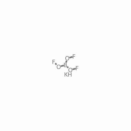 FOB(OF)OF.[KH]